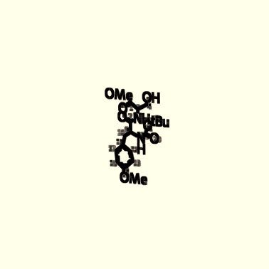 COC(=O)C(CO)NC(=O)C(Cc1ccc(OC)cc1)NC(=O)OC(C)(C)C